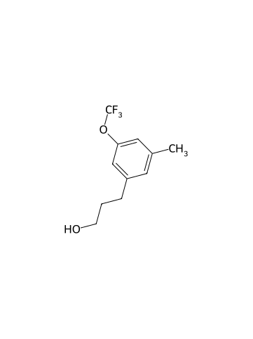 Cc1cc(CCCO)cc(OC(F)(F)F)c1